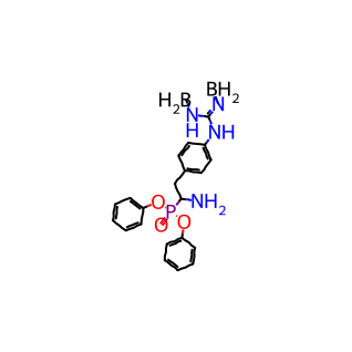 B/N=C(\NB)Nc1ccc(CC(N)P(=O)(Oc2ccccc2)Oc2ccccc2)cc1